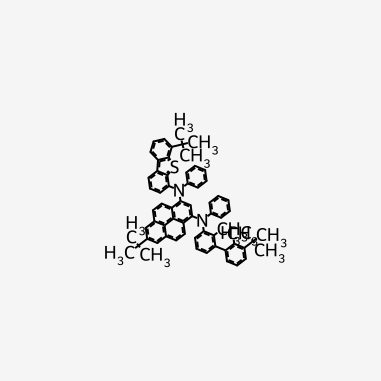 Cc1c(-c2cccc(C(C)(C)C)c2C)cccc1N(c1ccccc1)c1cc(N(c2ccccc2)c2cccc3c2sc2c(C(C)(C)C)cccc23)c2ccc3cc(C(C)(C)C)cc4ccc1c2c43